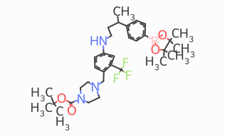 CC(CCNc1ccc(CN2CCN(C(=O)OC(C)(C)C)CC2)c(C(F)(F)F)c1)c1ccc(B2OC(C)(C)C(C)(C)O2)cc1